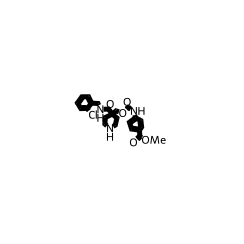 COC(=O)c1ccc(NC(=O)OCC2(C(=O)NCc3ccccc3Cl)CCNCC2)cc1